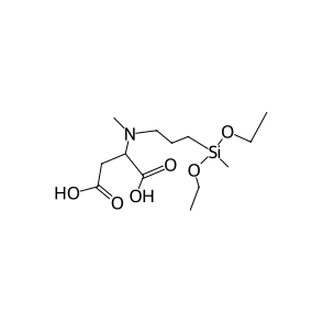 CCO[Si](C)(CCCN(C)C(CC(=O)O)C(=O)O)OCC